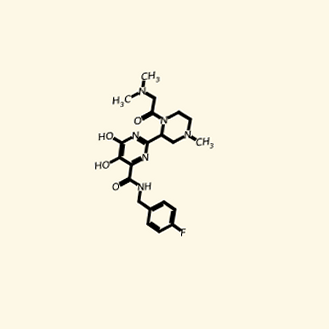 CN(C)CC(=O)N1CCN(C)CC1c1nc(O)c(O)c(C(=O)NCc2ccc(F)cc2)n1